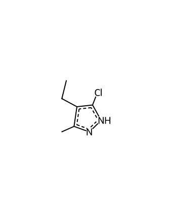 CCc1c(C)n[nH]c1Cl